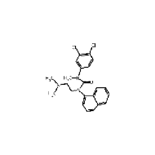 CN(C)CCN(C(=O)N(C)c1ccc(Cl)c(Cl)c1)c1cccc2ccccc12